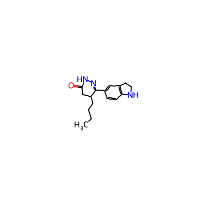 CCCCC1CC(=O)NN=C1c1ccc2c(c1)CCN2